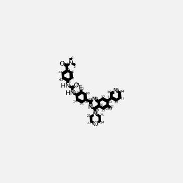 CN(C)C(=O)c1ccc(NC(=O)Nc2ccc(-c3nc(N4CCOCC4)c4cc(F)c(-c5cccnc5)cc4n3)cc2F)cc1